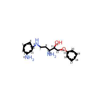 Nc1cccc(NCCC(N)C(O)COc2ccccc2)c1